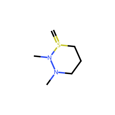 C=S1CCCN(C)N1C